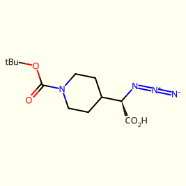 CC(C)(C)OC(=O)N1CCC([C@@H](N=[N+]=[N-])C(=O)O)CC1